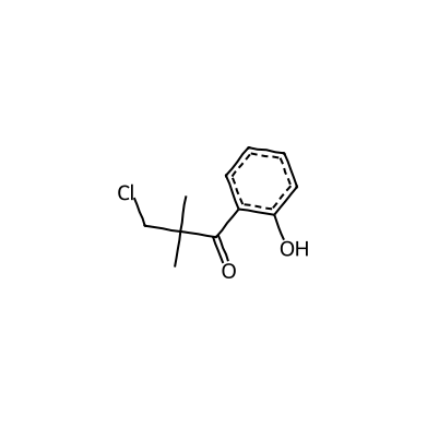 CC(C)(CCl)C(=O)c1ccccc1O